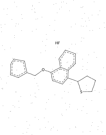 F.c1ccc(COc2ccc(C3CCCS3)c3ccccc23)cc1